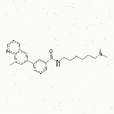 Cc1cc(-c2cccc(C(=O)NCCCCCCN(C)C)c2)cc2cccnc12